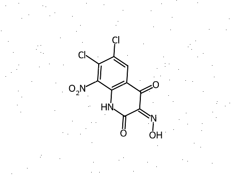 O=C1Nc2c(cc(Cl)c(Cl)c2[N+](=O)[O-])C(=O)C1=NO